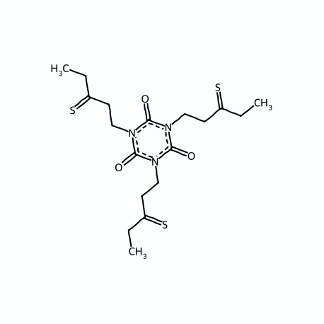 CCC(=S)CCn1c(=O)n(CCC(=S)CC)c(=O)n(CCC(=S)CC)c1=O